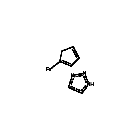 [Fe][C]1=CC=CC1.c1c[nH]nn1